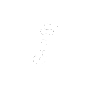 C1=Cc2ccc3c(-c4ccc(-c5ccc6ccc7cccnc7c6n5)cc4)ccc4c3c2C(=CC4)C1